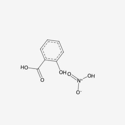 O=C(O)c1ccccc1O.O=[N+]([O-])O